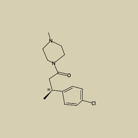 C[C@@H](CC(=O)N1CCN(C)CC1)c1ccc(Cl)cc1